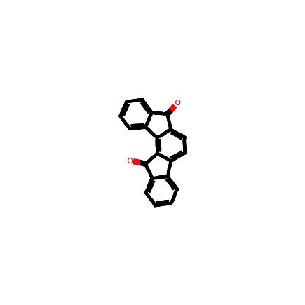 O=c1c2ccccc2c2c1ccc1c3ccccc3c(=O)c12